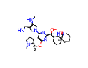 CNC1=C(C=N)CN(c2cc(O[C@@H](C)[C@@H]3CCCN3C)nc(/C(O)=C3\CCC[C@@]4(CCCCC4=O)C3=N)n2)C1